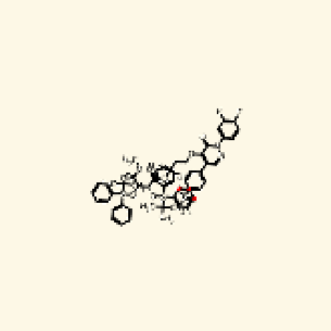 COC(=O)[C@H](O[Si](c1ccccc1)(c1ccccc1)C(C)(C)C)[C@@H](O[Si](c1ccccc1)(c1ccccc1)C(C)(C)C)C(=O)OC(C)(C)CCOc1c(-c2ccc(S(C)(=O)=O)cc2)cnn(-c2ccc(F)c(F)c2)c1=O